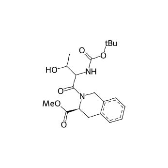 COC(=O)[C@@H]1Cc2ccccc2CN1C(=O)C(NC(=O)OC(C)(C)C)C(C)O